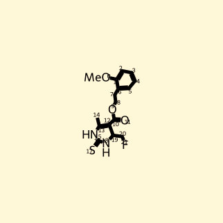 COc1ccccc1CCOC(=O)C1=C(C)NC(=S)NC1CF